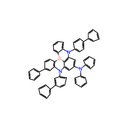 c1ccc(-c2ccc(N3c4ccccc4B4c5ccc(-c6ccccc6)cc5N(c5cccc(-c6ccccc6)c5)c5cc(N(c6ccccc6)c6ccccc6)cc3c54)cc2)cc1